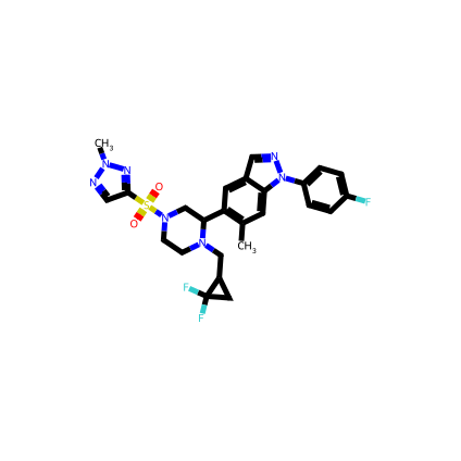 Cc1cc2c(cnn2-c2ccc(F)cc2)cc1C1CN(S(=O)(=O)c2cnn(C)n2)CCN1CC1CC1(F)F